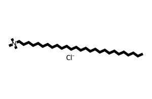 CCCCCCCCCCCCCCCCCCCCCCCCCCC[N+](C)(C)C.[Cl-]